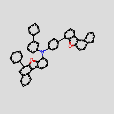 c1ccc(-c2cccc(N(c3ccc(-c4cccc5c4oc4ccc6ccccc6c45)cc3)c3cccc4c3oc3c(-c5ccccc5)cc5ccccc5c34)c2)cc1